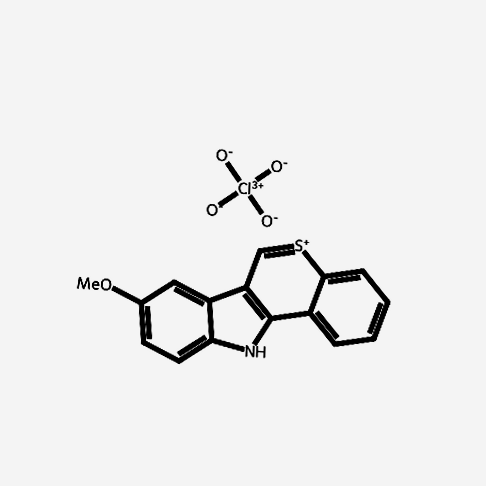 COc1ccc2[nH]c3c4ccccc4[s+]cc3c2c1.[O-][Cl+3]([O-])([O-])[O-]